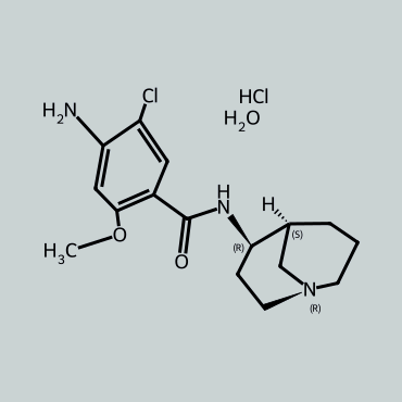 COc1cc(N)c(Cl)cc1C(=O)N[C@@H]1CC[N@]2CCC[C@H]1C2.Cl.O